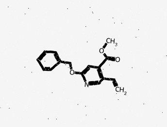 C=Cc1cnc(OCc2ccccc2)cc1C(=O)OC